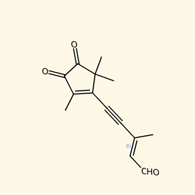 CC1=C(C#C/C(C)=C/C=O)C(C)(C)C(=O)C1=O